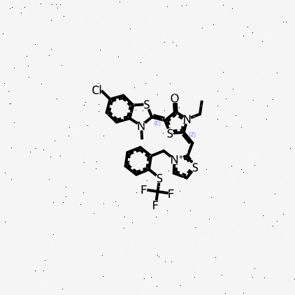 CCn1c(=O)/c(=C2\Sc3cc(Cl)ccc3N2C)s/c1=C\c1scc[n+]1Cc1ccccc1SC(F)(F)F